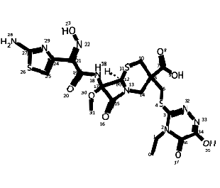 CCn1c(SCC2(C(=O)O)CS[C@H]3N(C2)C(=O)C3(NC(=O)C(=NO)c2csc(N)n2)OC)nnc(O)c1=O